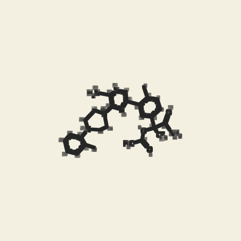 Cc1ccc(C(OC(=O)C(F)(F)F)(C(N)=O)C(F)(F)F)cc1-c1cnc(N)c(N2CCN(c3ccccc3C)CC2)n1